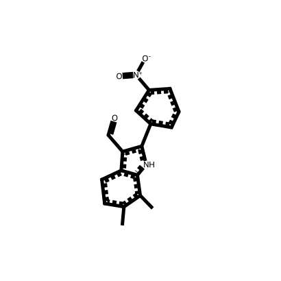 Cc1ccc2c(C=O)c(-c3cccc([N+](=O)[O-])c3)[nH]c2c1C